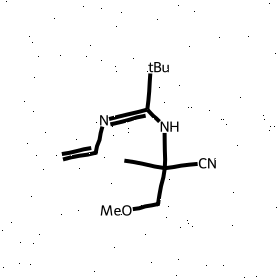 C=C/N=C(\NC(C)(C#N)COC)C(C)(C)C